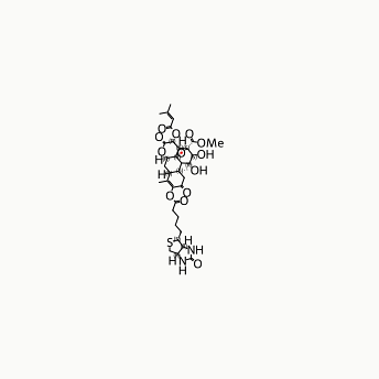 COC(=O)[C@@]12OC[C@]34C([C@@H](O)[C@@H]1O)[C@@]1(C)CC(=O)C(OC(=O)CCCC[C@@H]5SC[C@@H]6NC(=O)N[C@@H]65)=C(C)[C@@H]1C[C@H]3OC(=O)[C@H](OC(=O)C=C(C)C)[C@@H]24